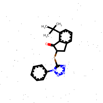 CC(C)(C)c1cccc2c1C(=O)C(Sc1nnnn1-c1ccccc1)C2